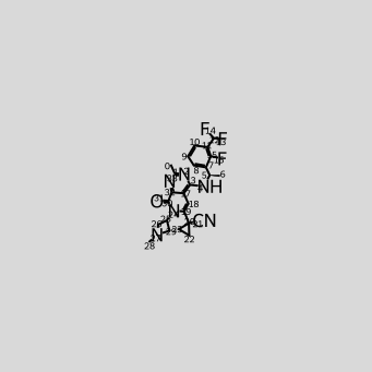 Cc1nc(N[C@H](C)c2cccc(C(F)F)c2F)c2cc(C3(C#N)CC3)n(C3CN(C)C3)c(=O)c2n1